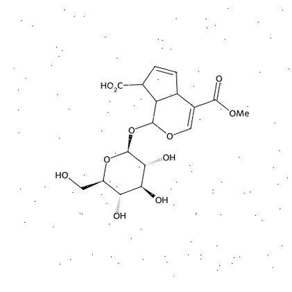 COC(=O)C1=COC(O[C@@H]2O[C@H](CO)[C@@H](O)[C@H](O)[C@H]2O)C2C(C(=O)O)C=CC12